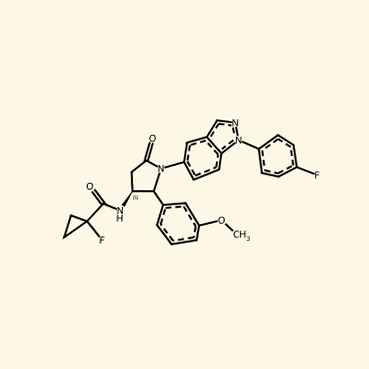 COc1cccc(C2[C@@H](NC(=O)C3(F)CC3)CC(=O)N2c2ccc3c(cnn3-c3ccc(F)cc3)c2)c1